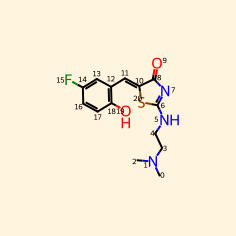 CN(C)CCNC1=NC(=O)C(=Cc2cc(F)ccc2O)S1